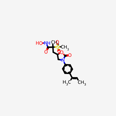 CC=C(C)c1ccc(N2CC(CC(C)(C(=O)NO)S(C)(=O)=O)OC2=O)cc1